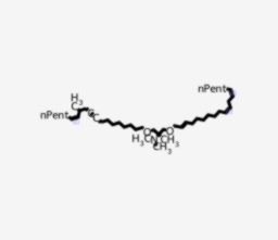 CCCCC/C=C\C/C=C\CCCCCCC=CCOCC(C)(COCCCCCCCC=C=C=CC(C)/C=C\CCCCC)N(C)C